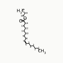 CCCCCC/C=C\CCCCCCCC(=O)OCCC